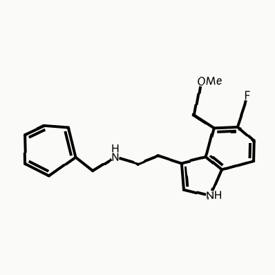 COCc1c(F)ccc2[nH]cc(CCNCc3ccccc3)c12